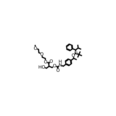 COCCOCCOC(=O)C(CO)COC(=O)NCc1ccc(C(C)ON(C(c2ccccc2)C(C)C)C(C)(C)C)cc1